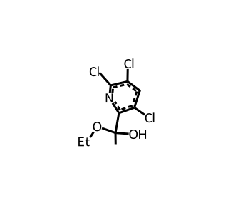 CCOC(C)(O)c1nc(Cl)c(Cl)cc1Cl